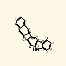 c1ccc2cc3c(cc2c1)oc1cc2[nH]c4ccccc4c2cc13